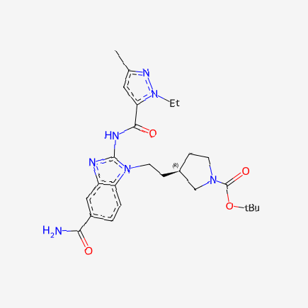 CCn1nc(C)cc1C(=O)Nc1nc2cc(C(N)=O)ccc2n1CC[C@H]1CCN(C(=O)OC(C)(C)C)C1